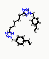 C=Cc1ccc(Cn2nnc(CCCCCc3nnn(Cc4ccc(C=C)cc4)n3)n2)cc1